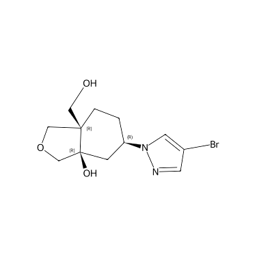 OC[C@@]12CC[C@@H](n3cc(Br)cn3)C[C@]1(O)COC2